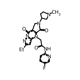 CCc1cc2n(CC(=O)Nc3ccc(F)cn3)c3c(c(=O)n2n1)CN(C1CCN(C)C1)C3=O